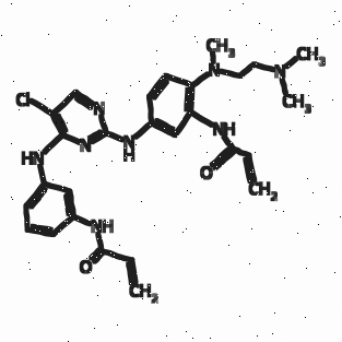 C=CC(=O)Nc1cccc(Nc2nc(Nc3ccc(N(C)CCN(C)C)c(NC(=O)C=C)c3)ncc2Cl)c1